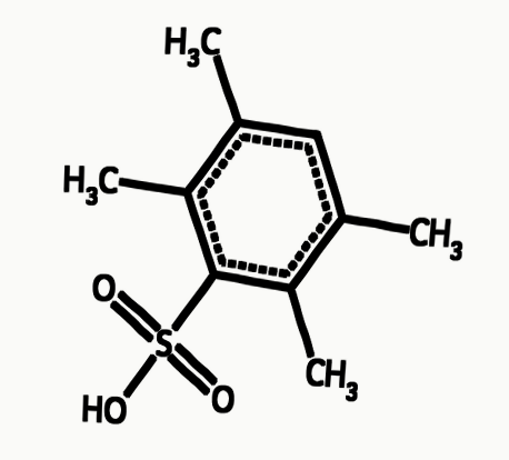 Cc1cc(C)c(C)c(S(=O)(=O)O)c1C